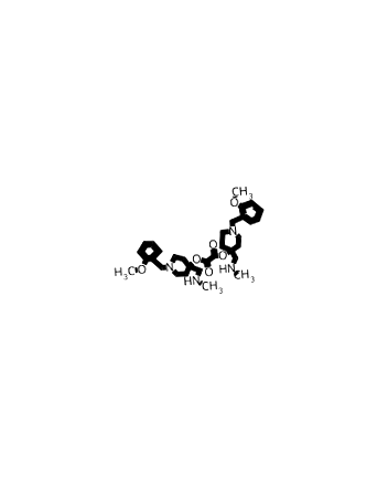 CNCC1(OC(=O)C(=O)OC2(CNC)CCN(Cc3ccccc3OC)CC2)CCN(Cc2ccccc2OC)CC1